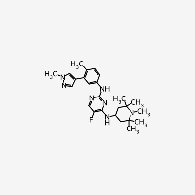 Cc1ccc(Nc2ncc(F)c(NC3CC(C)(C)N(C)C(C)(C)C3)n2)cc1-c1cnn(C)c1